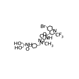 Cc1nn(Cc2ccc(C(=O)NC(CO)CO)cc2)c(C)c1NC(=O)c1cc(C(F)(F)F)nc2ccc(Br)cc12